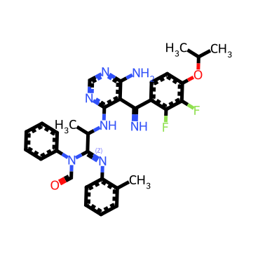 Cc1ccccc1/N=C(/C(C)Nc1ncnc(N)c1C(=N)c1ccc(OC(C)C)c(F)c1F)N(C=O)c1ccccc1